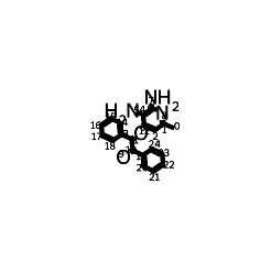 Cc1ccc(N)c(N)n1.O=C(C(=O)c1ccccc1)c1ccccc1